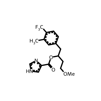 COCCC(Cc1ccc(C(F)(F)F)c(C)c1)OC(=O)c1c[nH]cn1